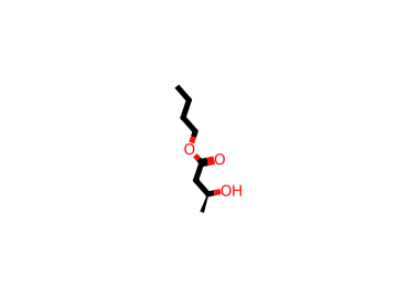 CCCCOC(=O)C[C@H](C)O